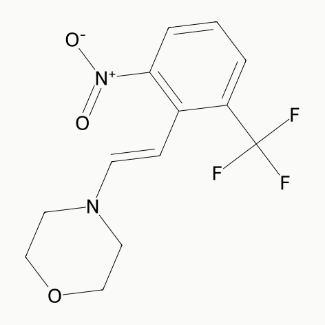 O=[N+]([O-])c1cccc(C(F)(F)F)c1C=CN1CCOCC1